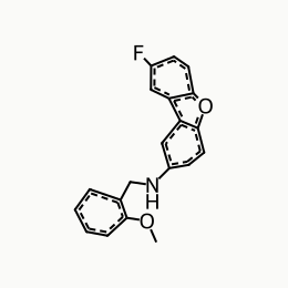 COc1ccccc1CNc1ccc2oc3ccc(F)cc3c2c1